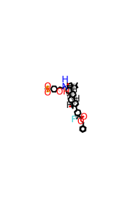 C=C(C)[C@@H]1CC[C@]2(NCC[C@]3(O)CC[C@@H](S(C)(=O)=O)CC3)CC[C@]3(C)[C@H](CC[C@@H]4[C@@]5(C)CC=C(C6=CC[C@@](CF)(C(=O)OCc7ccccc7)CC6)C(C)(C)[C@@H]5CC[C@]43C)[C@@H]12